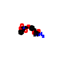 CC(C)OC(Cc1ccc(OCCn2c(=O)oc3ccccc3c2=O)cc1)C(N)=O